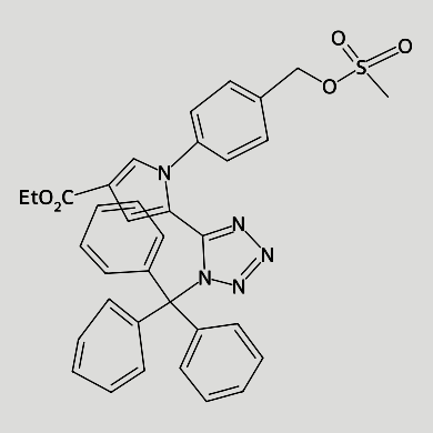 CCOC(=O)c1cc(-c2nnnn2C(c2ccccc2)(c2ccccc2)c2ccccc2)n(-c2ccc(COS(C)(=O)=O)cc2)c1